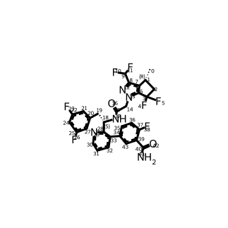 C[C@@H]1CC(F)(F)c2c1c(C(F)F)nn2CC(=O)N[C@@H](Cc1cc(F)cc(F)c1)c1ncccc1-c1ccc(F)c(C(N)=O)c1